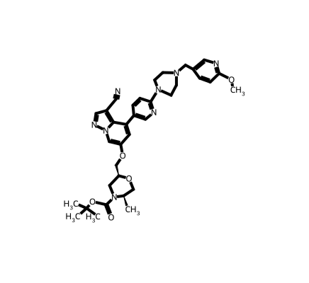 COc1ccc(CN2CCN(c3ccc(-c4cc(OC[C@@H]5CN(C(=O)OC(C)(C)C)[C@H](C)CO5)cn5ncc(C#N)c45)cn3)CC2)cn1